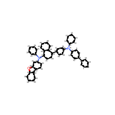 c1ccc(-c2ccc(N(c3ccccc3)c3ccc(-c4ccc(N(c5ccccc5)c5ccc6c(c5)oc5ccccc56)c5ccccc45)cc3)cc2)cc1